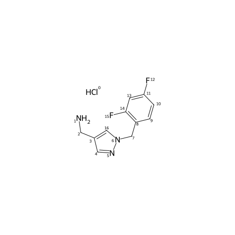 Cl.NCc1cnn(Cc2ccc(F)cc2F)c1